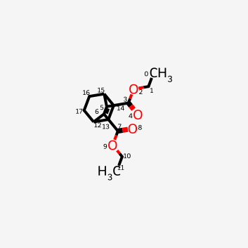 CCOC(=O)C1=C(C(=O)OCC)C2CCC1CC2